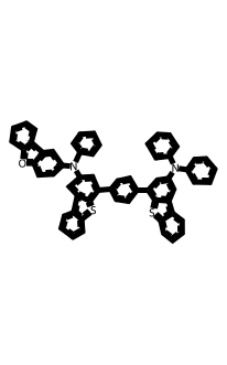 c1ccc(N(c2ccccc2)c2cc(-c3ccc(-c4cc(N(c5ccccc5)c5ccc6oc7ccccc7c6c5)cc5c4sc4ccccc45)cc3)c3sc4ccccc4c3c2)cc1